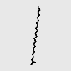 CC(C)CCCCCCCCCCCCCCCCCCCCI